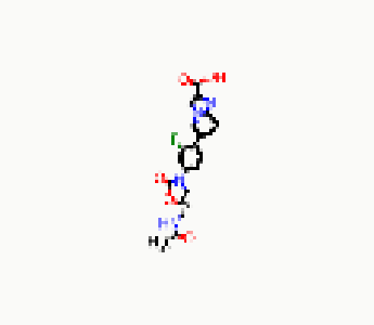 CC(=O)NC[C@H]1CN(c2ccc(-c3ccc4nc(C(=O)O)cn4c3)c(F)c2)C(=O)O1